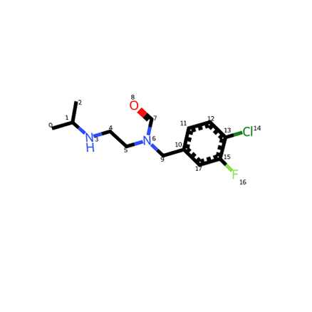 CC(C)NCCN(C=O)Cc1ccc(Cl)c(F)c1